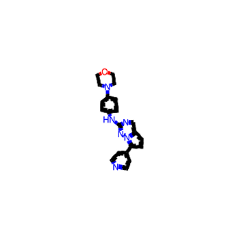 c1cc(-c2ccc3cnc(Nc4ccc(N5CCOCC5)cc4)nn23)ccn1